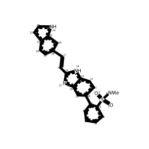 CNS(=O)(=O)c1ccccc1-c1ccc2[nH]c(C=Cc3ccc4cc[nH]c4c3)nc2c1